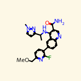 COCc1ccc(-c2ccc3ncc(C(N)=O)c(NC(C)c4ccn(C)n4)c3c2)c(F)n1